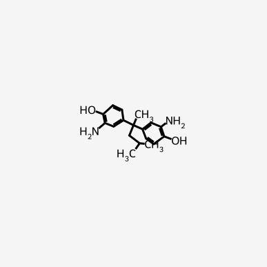 CC(C)CC(C)(c1ccc(O)c(N)c1)c1ccc(O)c(N)c1